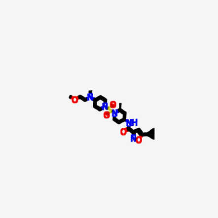 COCCN(C)C1CCN(S(=O)(=O)N2CC[C@H](NC(=O)c3cc(C4CC4)on3)C[C@@H]2C)CC1